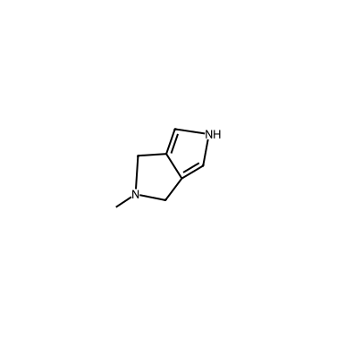 CN1Cc2c[nH]cc2C1